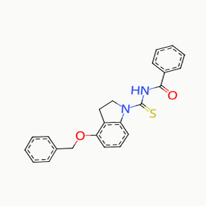 O=C(NC(=S)N1CCc2c(OCc3ccccc3)cccc21)c1ccccc1